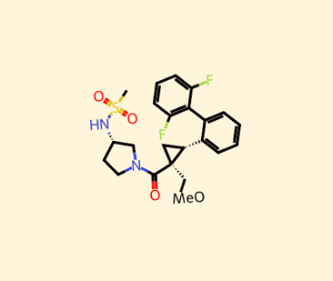 COC[C@]1(C(=O)N2CC[C@H](NS(C)(=O)=O)C2)C[C@@H]1c1ccccc1-c1c(F)cccc1F